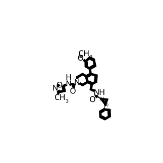 COc1cccc(-c2ccc(CNC(=O)[C@H]3C[C@@H]3c3ccccc3)c3c2CCN(C(=O)Nc2cc(C)no2)C3)c1